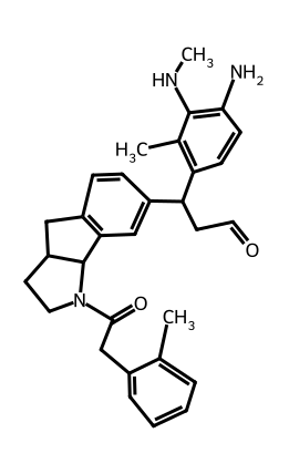 CNc1c(N)ccc(C(CC=O)c2ccc3c(c2)C2C(CCN2C(=O)Cc2ccccc2C)C3)c1C